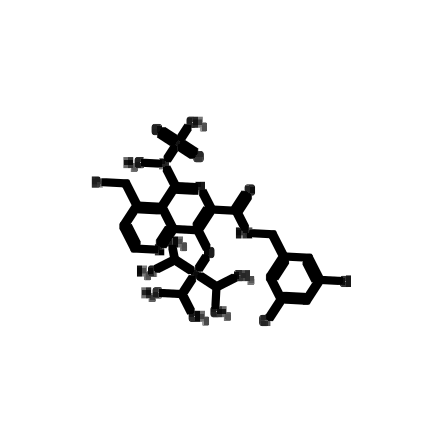 CC(C)[Si](Oc1c(C(=O)NCc2cc(Cl)cc(Cl)c2)nc(N(C)S(C)(=O)=O)c2c(CBr)ccnc12)(C(C)C)C(C)C